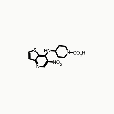 O=C(O)N1CCC(Nc2c([N+](=O)[O-])cnc3ccsc23)CC1